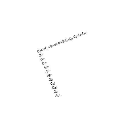 [Al+3].[Al+3].[Al+3].[Al+3].[Al+3].[Al+3].[Al+3].[As-3].[As-3].[As-3].[Ga].[Ga].[Ga].[Ga].[Ga].[Ga].[Ga].[O-2].[O-2].[O-2].[O-2].[O-2].[O-2]